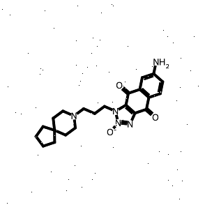 Nc1ccc2c(c1)C(=O)c1c(n[n+]([O-])n1CCCN1CCC3(CCCC3)CC1)C2=O